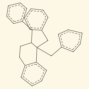 c1ccc(CC2CCc3ccccc3C2(Cc2ccccc2)Cc2ccccc2)cc1